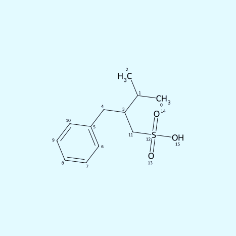 CC(C)C(Cc1ccccc1)CS(=O)(=O)O